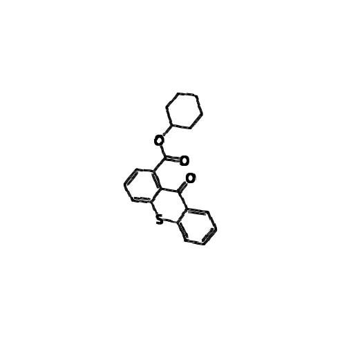 O=C(OC1CCCCC1)c1cccc2sc3ccccc3c(=O)c12